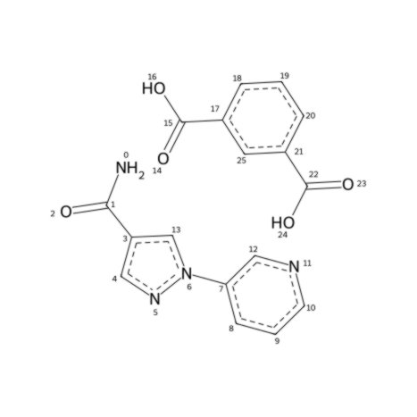 NC(=O)c1cnn(-c2cccnc2)c1.O=C(O)c1cccc(C(=O)O)c1